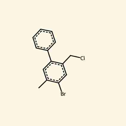 Cc1cc(-c2ccccc2)c(CCl)cc1Br